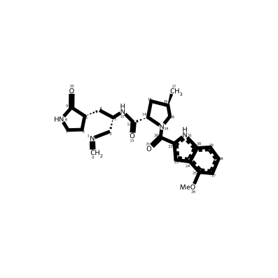 C=NC[C@H](C[C@@H]1CCNC1=O)NC(=O)[C@@H]1C[C@@H](C)CN1C(=O)c1cc2c(OC)cccc2[nH]1